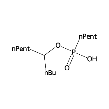 CCCCCC(CCCC)OP(=O)(O)CCCCC